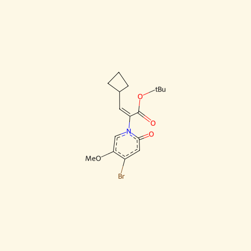 COc1cn(/C(=C/C2CCC2)C(=O)OC(C)(C)C)c(=O)cc1Br